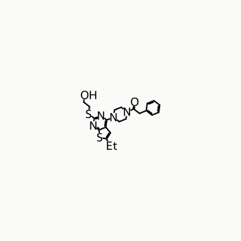 CCc1cc2c(N3CCN(C(=O)Cc4ccccc4)CC3)nc(SCCO)nc2s1